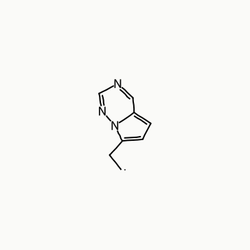 [CH2]Cc1ccc2cncnn12